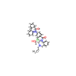 C=CCN1Cc2ccccc2N(C(=O)c2ccc(NC(=O)c3ccccc3-c3ccccc3)cc2Cl)C[C@H]1CO